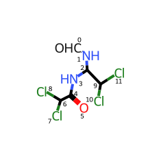 O=CNC(NC(=O)C(Cl)Cl)C(Cl)Cl